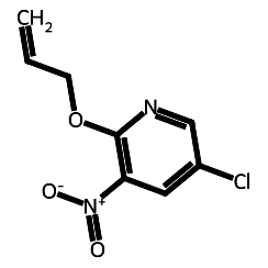 C=CCOc1ncc(Cl)cc1[N+](=O)[O-]